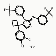 Br.FC(F)(F)c1cccc(N=c2scc(C3(c4ccc(Cl)c(Cl)c4)CCC3)n2-c2cccc(C(F)(F)F)c2)c1